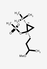 COC(C)CC[C@@]1(OS(C)(=O)=O)C[C@H]1[Si](C)(C)C